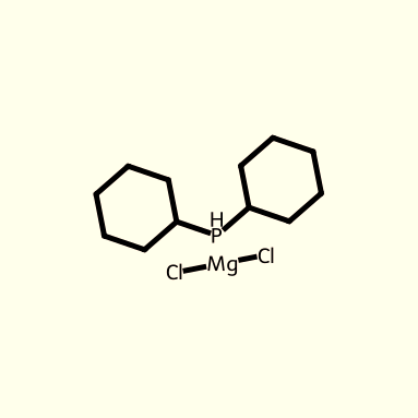 C1CCC(PC2CCCCC2)CC1.[Cl][Mg][Cl]